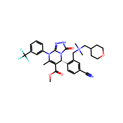 COC(=O)C1=C(C)N(c2cccc(C(F)(F)F)c2)c2n[nH]c(=O)n2[C@@H]1c1ccc(C#N)cc1C[N+](C)(C)CC1CCOCC1